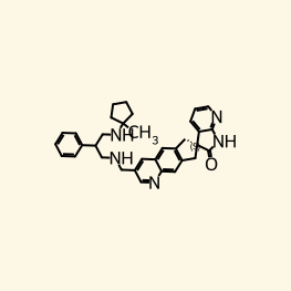 CC1(NCC(CNCc2cnc3cc4c(cc3c2)C[C@@]2(C4)C(=O)Nc3ncccc32)c2ccccc2)CCCC1